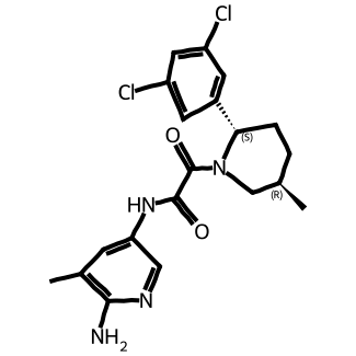 Cc1cc(NC(=O)C(=O)N2C[C@H](C)CC[C@H]2c2cc(Cl)cc(Cl)c2)cnc1N